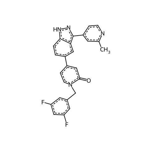 Cc1cc(-c2n[nH]c3ccc(-c4ccn(Cc5cc(F)cc(F)c5)c(=O)c4)cc23)ccn1